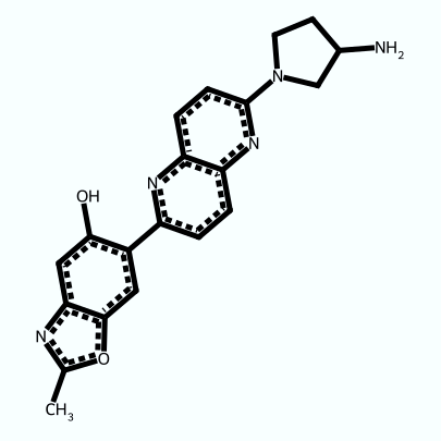 Cc1nc2cc(O)c(-c3ccc4nc(N5CCC(N)C5)ccc4n3)cc2o1